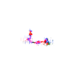 COc1cc(Nc2c(C#N)cnc3cc(OCCCN4CCN(C(=O)CCCCCN[C@H](C(=O)N5CC(O)CC5C(=O)NCc5ccc(-c6scnc6C)cc5)C(C)(C)C)CC4)c(OC)cc23)c(Cl)cc1Cl